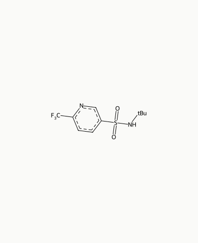 CC(C)(C)NS(=O)(=O)c1ccc(C(F)(F)F)nc1